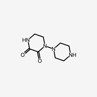 O=C1NCCN(N2CCNCC2)C1=O